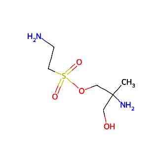 CC(N)(CO)COS(=O)(=O)CCN